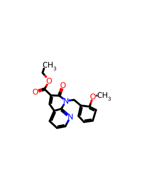 CCOC(=O)c1cc2cccnc2n(Cc2ccccc2OC)c1=O